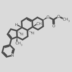 COC(=O)O[C@H]1CC[C@@]2(C)C(=CC[C@@H]3[C@@H]2CC[C@]2(C)C(c4cccnc4)=CC[C@@H]32)C1